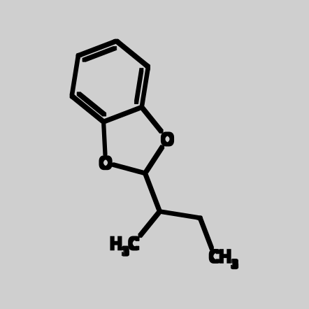 CCC(C)C1Oc2ccccc2O1